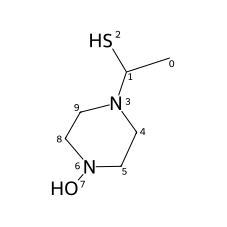 CC(S)N1CCN(O)CC1